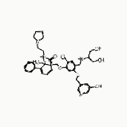 CC1(C)C(c2ccccc2)=CC=CC1(COc1cc(OCc2cncc(C#N)c2)c(CNC(CO)CO)cc1Cl)C(=O)NCCN1CCCC1